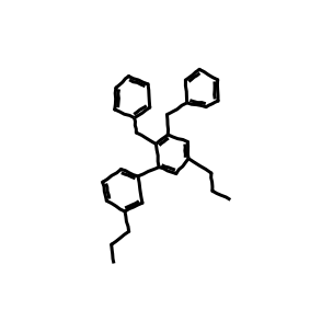 CCCc1cccc(-c2cc(CCC)cc(Cc3ccccc3)c2Cc2ccccc2)c1